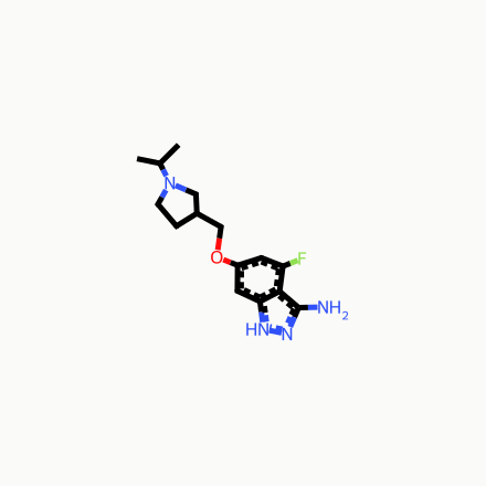 CC(C)N1CCC(COc2cc(F)c3c(N)n[nH]c3c2)C1